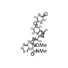 CNC(=O)C(=NOC)c1ccccc1CON=C(C)c1nn(C)c2cc(Oc3ccc(Cl)cc3)ccc12